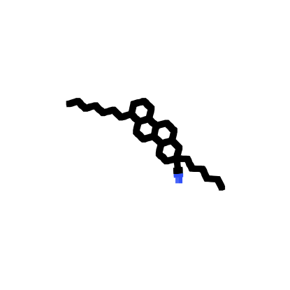 CCCCCCCC1CCCC2C1CCC1C3CCC(C#N)(CCCCCC)CC3CCC21